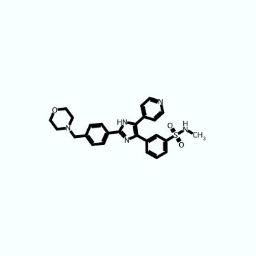 CNS(=O)(=O)c1cccc(-c2nc(-c3ccc(CN4CCOCC4)cc3)[nH]c2-c2ccncc2)c1